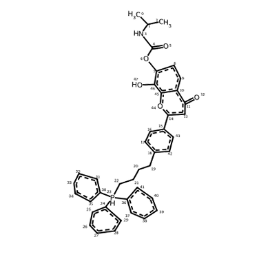 CC(C)NC(=O)Oc1ccc2c(=O)cc(-c3ccc(CCCC[PH](c4ccccc4)(c4ccccc4)c4ccccc4)cc3)oc2c1O